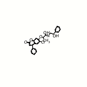 CC(Oc1cc2oc(=O)cc(-c3ccccc3)c2cc1Cl)C(=O)NCC(O)c1ccccc1